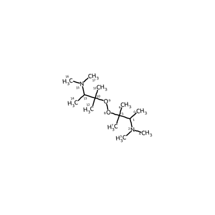 CC(N(C)C)C(C)(C)OOC(C)(C)C(C)N(C)C